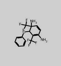 NC1=C(C(F)(F)F)C(Oc2ccccc2)C(N)(C(F)(F)F)C=C1